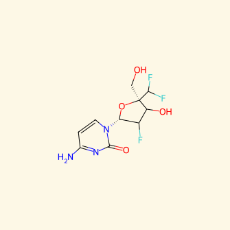 Nc1ccn([C@@H]2O[C@@](CO)(C(F)F)C(O)C2F)c(=O)n1